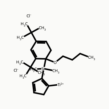 CCCCOC1([Si](C)(C)C2=[C]([Ti+2])CC=C2)CC=C(C(C)(C)C)C=C1C(C)(C)C.[Cl-].[Cl-]